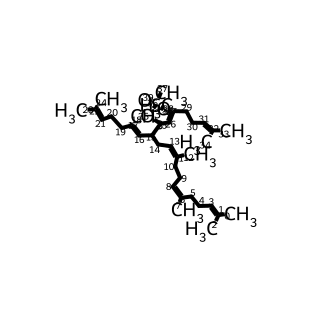 CC(C)=CCCC(C)=CCCC(C)=CCC(/C=C(\C)CCC=C(C)C)C(/C=C(\C)CCC=C(C)C)OS(C)(=O)=O